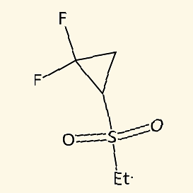 C[CH]S(=O)(=O)C1CC1(F)F